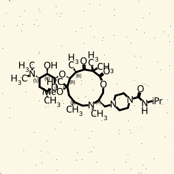 CO[C@]1(C)C[C@@H](C)CN(C)[C@H](CN2CCN(C(=O)NC(C)C)CC2)COC(=O)C(C)(C)C(=O)[C@H](C)[C@H]1O[C@@H]1O[C@H](C)C[C@H](N(C)C)[C@H]1O